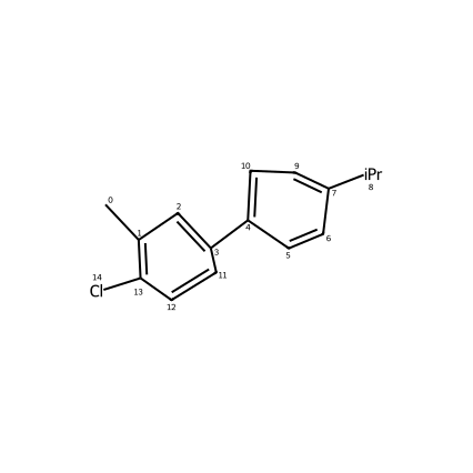 Cc1cc(-c2ccc(C(C)C)cc2)ccc1Cl